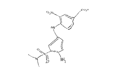 CN(C)S(=O)(=O)c1cc(Nc2ccc(C(=O)O)cc2[N+](=O)[O-])ccc1N